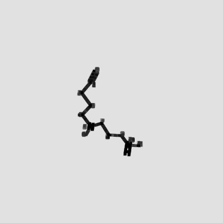 C#CCCCN(C)CCCNC